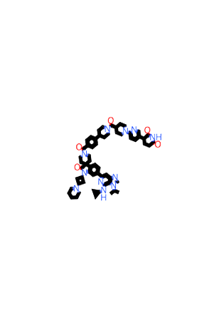 CC(C)n1cnc2cc(-c3ccc4c(c3)N([C@H]3C[C@@H](N5CCCCC5)C3)C(=O)C43CCN(C(=O)c4ccc(C5CCN(C(=O)C6CCN(c7ccc(C8CCC(=O)NC8=O)cn7)CC6)CC5)cc4)CC3)nc(NC3CC3)c21